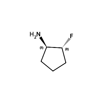 N[C@@H]1CCC[C@H]1F